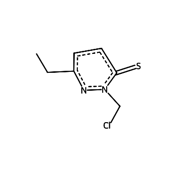 CCc1ccc(=S)n(CCl)n1